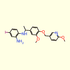 COc1ccc(COc2ccc(C(C)Nc3ccc(I)cc3N)cc2OC)cn1